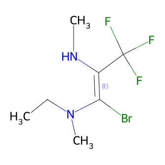 CCN(C)/C(Br)=C(\NC)C(F)(F)F